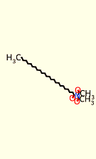 CCCCCCCCCCCCCCCCCCCCCCCCC(=O)N(C(C)=O)C(C)=O